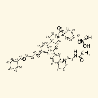 CC(=O)NCCN1CCCc2ccc(COC3CN(C(=O)c4ccc(CON(O)O)cc4)CCC3c3ccc(OCCCOCc4ccccc4)cc3)cc21